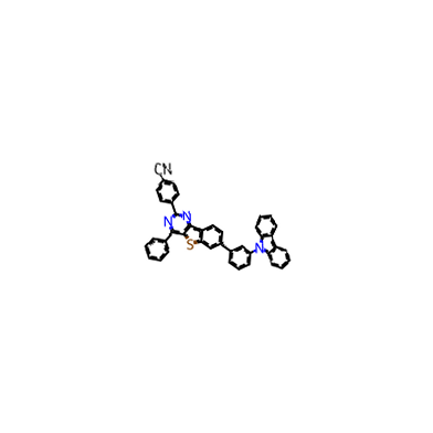 N#Cc1ccc(-c2nc(-c3ccccc3)c3sc4cc(-c5cccc(-n6c7ccccc7c7ccccc76)c5)ccc4c3n2)cc1